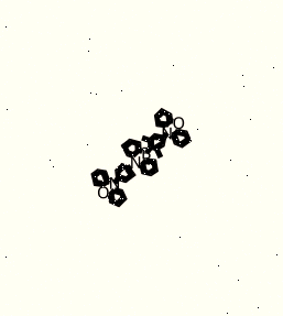 Cc1cc(N2c3ccccc3Oc3ccccc32)cc(C)c1B1c2ccccc2N(c2ccc(N3c4ccccc4Oc4ccccc43)cc2)c2ccccc21